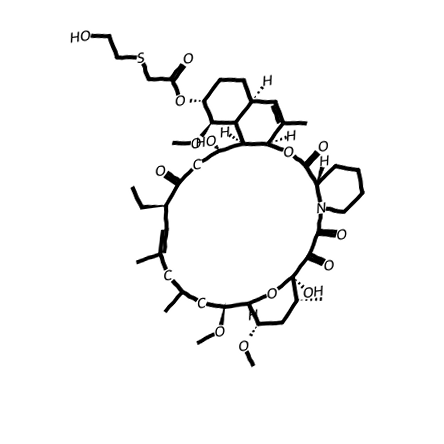 CC[C@@H]1/C=C(\C)CC(C)C[C@H](OC)[C@H]2O[C@@](O)(C(=O)C(=O)N3CCCC[C@H]3C(=O)O[C@@H]3C(C)=C[C@@H]4CC[C@@H](OC(=O)CSCCO)[C@H](OC)C4[C@@H]3[C@@H](O)CC1=O)[C@H](C)C[C@@H]2OC